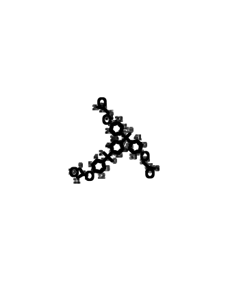 CC(C)(c1ccc(OC2COC2)cc1)c1ccc(C(C)(c2ccc(OCC3CO3)cc2)c2ccc(OCC3CO3)cc2)cc1